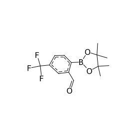 CC1(C)OB(c2ccc(C(F)(F)F)cc2C=O)OC1(C)C